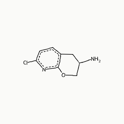 NC1COc2nc(Cl)ccc2C1